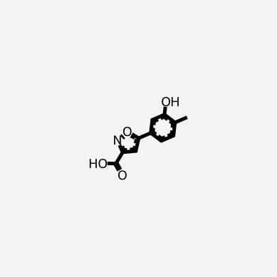 Cc1ccc(-c2cc(C(=O)O)no2)cc1O